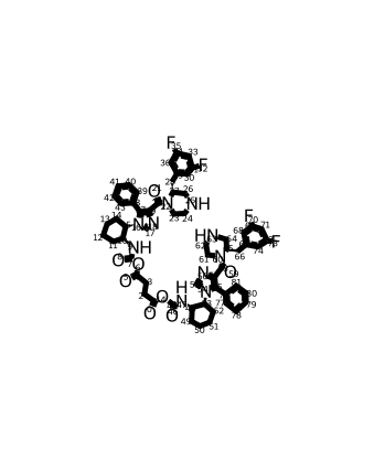 O=C(CCC(=O)OC(=O)N[C@H]1CCCC[C@@H]1n1cnc(C(=O)N2CCNC[C@H]2Cc2cc(F)cc(F)c2)c1-c1ccccc1)OC(=O)N[C@H]1CCCC[C@@H]1n1cnc(C(=O)N2CCNC[C@H]2Cc2cc(F)cc(F)c2)c1-c1ccccc1